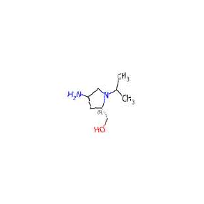 CC(C)N1CC(N)C[C@H]1CO